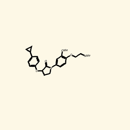 CNCCOc1ccc(N2CCC(Oc3ccc(C4CC4)cc3)C2=O)cc1OC